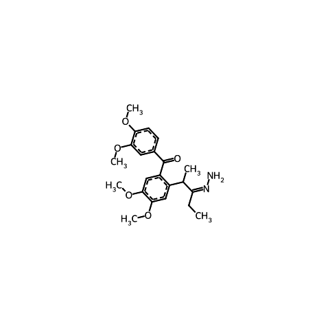 CC/C(=N/N)C(C)c1cc(OC)c(OC)cc1C(=O)c1ccc(OC)c(OC)c1